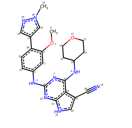 COc1cc(Nc2nc(NC3CCOCC3)c3c(C#N)c[nH]c3n2)ccc1-c1cnn(C)c1